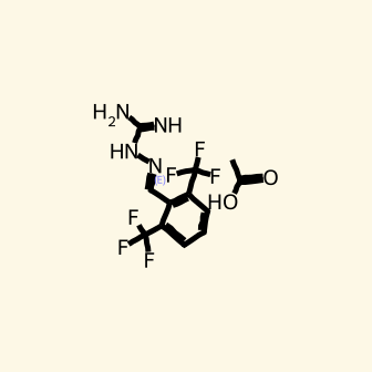 CC(=O)O.N=C(N)N/N=C/c1c(C(F)(F)F)cccc1C(F)(F)F